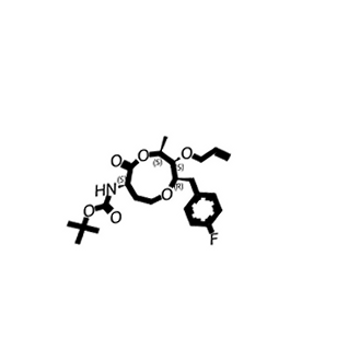 C=CCO[C@H]1[C@H](C)OC(=O)[C@@H](NC(=O)OC(C)(C)C)CCO[C@@H]1Cc1ccc(F)cc1